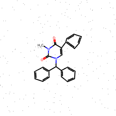 Cn1c(=O)c(-c2ccccc2)cn(C(c2ccccc2)c2ccccc2)c1=O